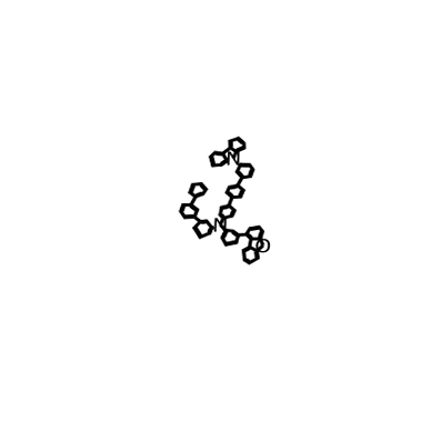 c1ccc(-c2cccc(-c3cccc(N(c4ccc(-c5ccc(-c6cccc(-n7c8ccccc8c8ccccc87)c6)cc5)cc4)c4cccc(-c5cccc6oc7ccccc7c56)c4)c3)c2)cc1